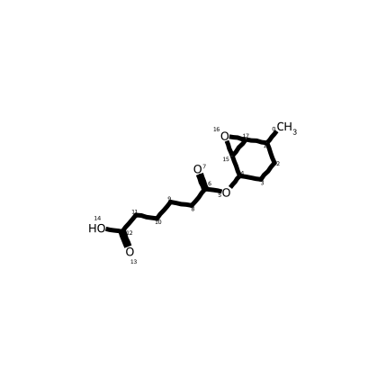 CC1CCC(OC(=O)CCCCC(=O)O)C2OC12